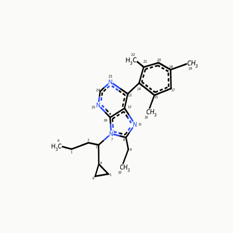 CCCC(C1CC1)n1c(CC)nc2c(-c3c(C)cc(C)cc3C)ncnc21